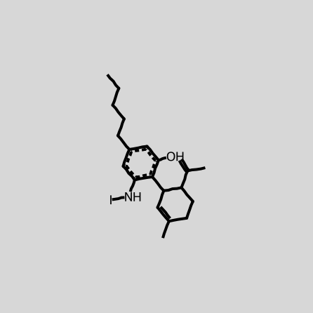 C=C(C)C1CCC(C)=CC1c1c(O)cc(CCCCC)cc1NI